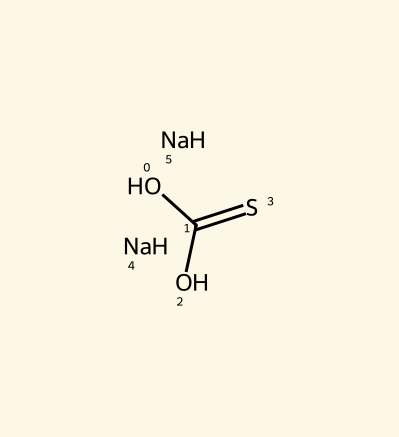 OC(O)=S.[NaH].[NaH]